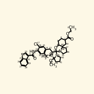 CCOC(=O)C1CCC(OC(C(=O)Cc2cc(Cl)c(NC(=O)c3csc4ccccc34)cc2F)(N2CCCC2)N2CCCC2(OC)OC)CC1